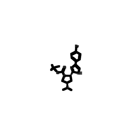 CN(C)[C@H]1C[C@@H](c2nc(-c3ccc(Br)cc3)c[nH]2)N(C(=O)OC(C)(C)C)C1